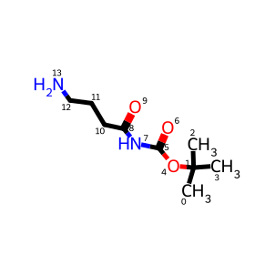 CC(C)(C)OC(=O)NC(=O)CCCN